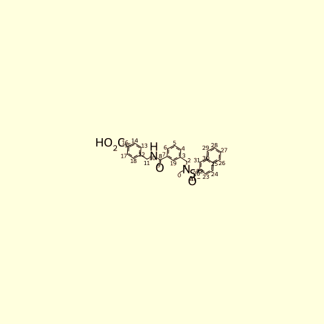 CN(Cc1cccc(C(=O)NCc2ccc(C(=O)O)cc2)c1)[S+]([O-])c1ccc2ccccc2c1